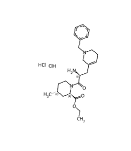 CCOC(=O)[C@H]1C[C@H](C)CCN1C(=O)[C@@H](N)CC1=CCCN(Cc2ccccc2)C1.Cl.Cl